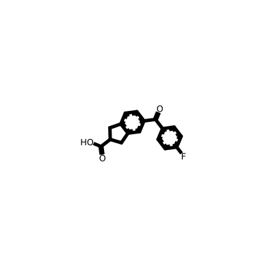 O=C(c1ccc(F)cc1)c1ccc2c(c1)CC(C(=O)O)C2